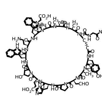 CCCC[C@H]1C(=O)N(C)[C@@H](CCCC)C(=O)N[C@@H](C)C(=O)N[C@H](C(=O)NCC(N)=O)CSCC(=O)N[C@@H](Cc2ccc(O)cc2)C(=O)N(C)[C@@H](C)C(=O)N[C@@H](CC=O)C(=O)N2CCC[C@H]2C(=O)N[C@@H](Cc2cnc[nH]2)C(=O)N[C@@H](CCC(=O)O)C(=O)N2C[C@H](O)C[C@H]2C(=O)N[C@@H](Cc2c[nH]c3ccccc23)C(=O)N[C@@H](CCN)C(=O)N[C@@H](Cc2cn(CC(=O)O)c3ccccc23)C(=O)N1C